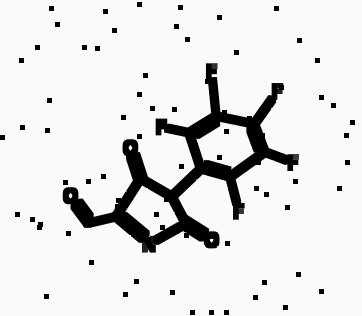 O=CC1=NC(=O)C(c2c(F)c(F)c(F)c(F)c2F)C1=O